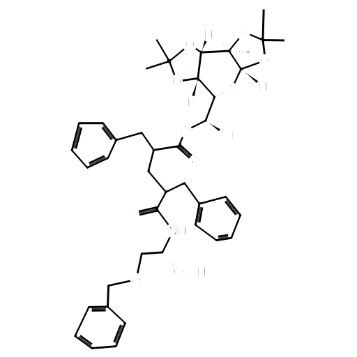 CC1(C)O[C@@H]2[C@H](O1)[C@H]1OC(C)(C)O[C@@H]1O[C@@H]2[C@@H](O)OC(=O)C(Cc1ccccc1)CC(Cc1ccccc1)C(=O)N[C@@H](COCc1ccccc1)C(=O)O